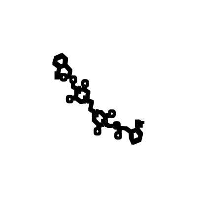 O=C(Cc1ccccc1Br)OCN1C(=O)CN(CCN2CC(=O)N(COC(=O)Cc3ccccc3Br)C(=O)C2)CC1=O